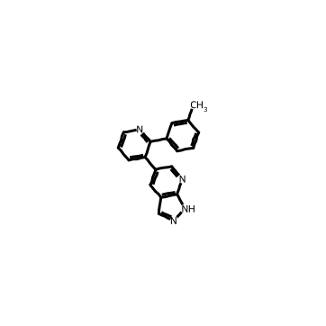 Cc1cccc(-c2ncccc2-c2cnc3[nH]ncc3c2)c1